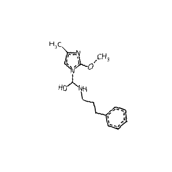 COc1nc(C)cn1C(O)NCCCc1ccccc1